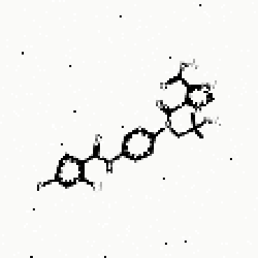 CC(C)(N)CN(C(=O)c1nc[nH]c1C(N)=O)c1ccc(NC(=O)c2ccc(F)cc2Cl)cc1